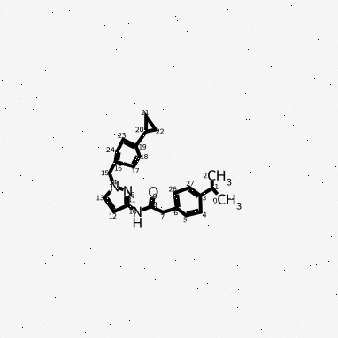 CC(C)c1ccc(CC(=O)Nc2ccn(Cc3ccc(C4CC4)cc3)n2)cc1